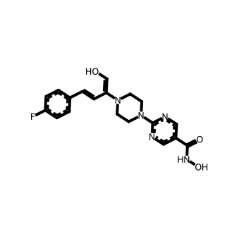 O=C(NO)c1cnc(N2CCN(C(/C=C/c3ccc(F)cc3)=C/O)CC2)nc1